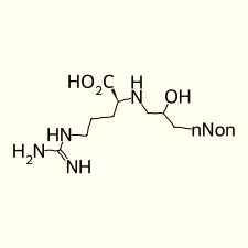 CCCCCCCCCCC(O)CN[C@@H](CCCNC(=N)N)C(=O)O